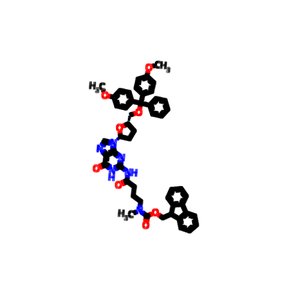 COc1ccc(C(OC[C@@H]2CC[C@H](n3cnc4c(=O)[nH]c(NC(=O)CCCN(C)C(=O)OCC5c6ccccc6-c6ccccc65)nc43)O2)(c2ccccc2)c2ccc(OC)cc2)cc1